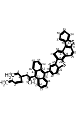 C=C/C=C\C(C=C)CC(=C)c1c2ccccc2c(-c2ccc3sc4c(ccc5c4ccc4sc6ccccc6c45)c3c2)c2ccccc12